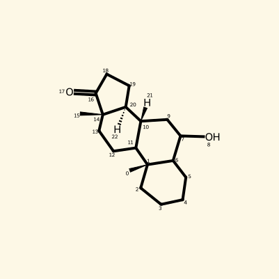 C[C@]12CCCCC1C(O)C[C@@H]1C2CC[C@]2(C)C(=O)CC[C@@H]12